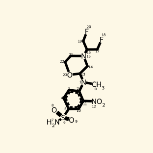 CN(c1ccc(S(N)(=O)=O)cc1[N+](=O)[O-])C1CN(C(CF)CF)CCO1